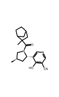 C[C@@H]1C[C@@H](c2cncc(C#N)c2O)N(C(=O)C2(C)CC3CCC2C3)C1